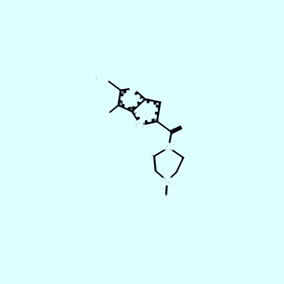 Cc1sc2cc(C(=O)N3CCN(C)CC3)[nH]c2c1C